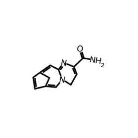 NC(=O)C1=CCN2C=C3C=CC(=CC2=N1)C3